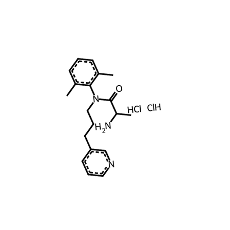 Cc1cccc(C)c1N(CCCc1cccnc1)C(=O)C(C)N.Cl.Cl